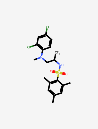 Cc1cc(C)c(S(=O)(=O)NC(CN(C)c2ccc(Cl)cc2Cl)C(F)(F)F)c(C)c1